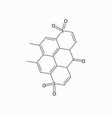 Cc1cc2c3c4c5c(cc(C)c14)S(=O)(=O)C=CC5C(=O)C3C=CS2(=O)=O